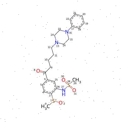 C[S+]([O-])c1ccc(C(=O)CCCCN2CCN(c3ccccc3)CC2)cc1NS(C)(=O)=O